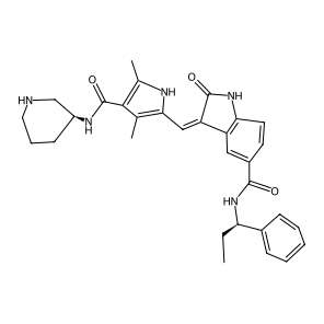 CC[C@@H](NC(=O)c1ccc2c(c1)/C(=C/c1[nH]c(C)c(C(=O)N[C@H]3CCCNC3)c1C)C(=O)N2)c1ccccc1